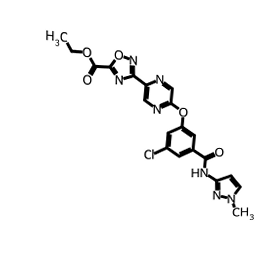 CCOC(=O)c1nc(-c2cnc(Oc3cc(Cl)cc(C(=O)Nc4ccn(C)n4)c3)cn2)no1